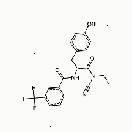 CCN(C#N)C(=O)C(Cc1ccc(O)cc1)NC(=O)c1cccc(C(F)(F)F)c1